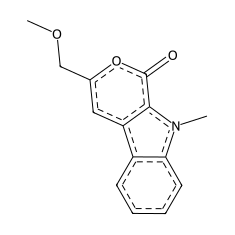 COCc1cc2c3ccccc3n(C)c2c(=O)o1